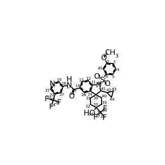 COc1cccc(S(=O)(=O)N2c3ccc(C(=O)Nc4cncc(C(F)(F)F)c4)cc3C3(CCC(O)(C(F)(F)F)CC3)C2C2CC2)c1